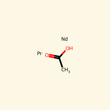 CC(=O)O.[Nd].[Pr]